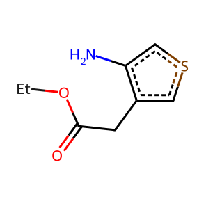 CCOC(=O)Cc1cscc1N